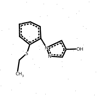 CCSc1ccccc1-n1cc(O)cn1